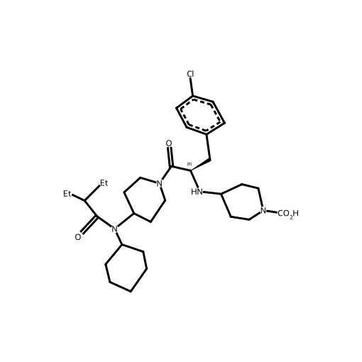 CCC(CC)C(=O)N(C1CCCCC1)C1CCN(C(=O)[C@@H](Cc2ccc(Cl)cc2)NC2CCN(C(=O)O)CC2)CC1